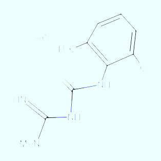 CNC(=N)NC(=S)Nc1c(C)cccc1Cl.Cl